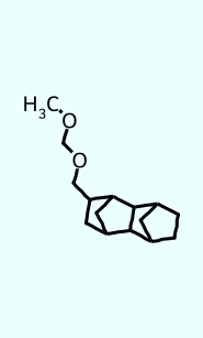 COCOCC1CC2CC1C1C3CCC(C3)C21